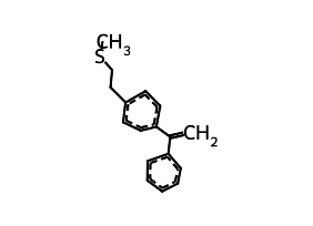 C=C(c1ccccc1)c1ccc(CCSC)cc1